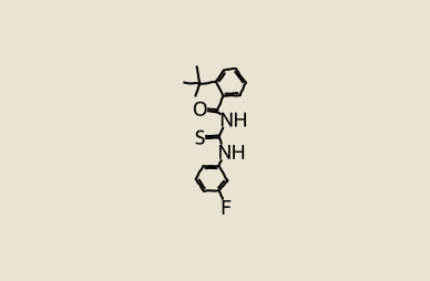 CC(C)(C)c1ccccc1C(=O)NC(=S)Nc1cccc(F)c1